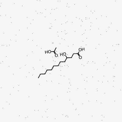 CC(=O)O.CCCCCCCCCC(O)CCC(=O)O